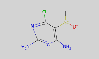 C[S+]([O-])c1c(N)nc(N)nc1Cl